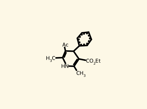 CCOC(=O)C1=C(C)NC(C)=C(C(C)=O)C1c1ccccc1